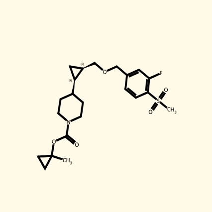 CC1(OC(=O)N2CCC([C@H]3C[C@H]3COCc3ccc(S(C)(=O)=O)c(F)c3)CC2)CC1